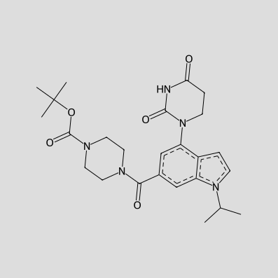 CC(C)n1ccc2c(N3CCC(=O)NC3=O)cc(C(=O)N3CCN(C(=O)OC(C)(C)C)CC3)cc21